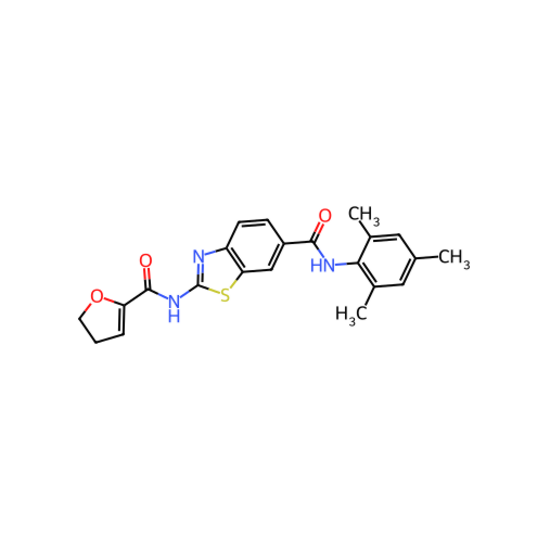 Cc1cc(C)c(NC(=O)c2ccc3nc(NC(=O)C4=CCCO4)sc3c2)c(C)c1